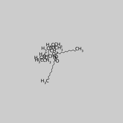 CC(C)(C)OOC(C)(C)CCC(C)(C)OOC(C)(C)C.CCCCCCCCCCCC(=O)OOC(=O)CCCCCCCCCCC